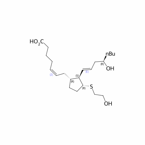 CCCC[C@@H](O)C/C=C/[C@@H]1[C@@H](C/C=C\CCCC(=O)O)CC[C@H]1SCCO